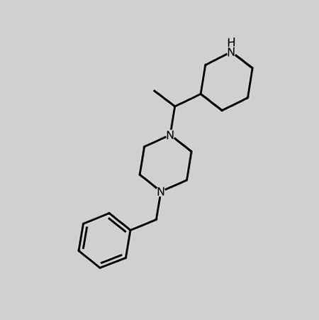 CC(C1CCCNC1)N1CCN(Cc2ccccc2)CC1